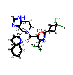 O=C(c1oc(C2CC(F)(F)C2)nc1C(F)F)N1CCc2[nH]cnc2[C@H]1c1ccc2ccccc2n1